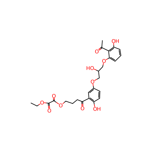 CCOC(=O)C(=O)OCCCC(=O)c1cc(OCC(O)COc2cccc(O)c2C(C)=O)ccc1O